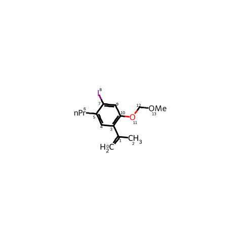 C=C(C)c1cc(CCC)c(I)cc1OCOC